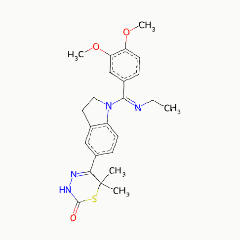 CCN=C(c1ccc(OC)c(OC)c1)N1CCc2cc(C3=NNC(=O)SC3(C)C)ccc21